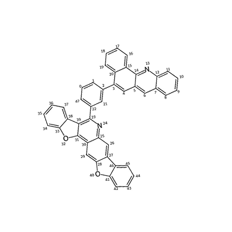 c1cc(-c2cc3cc4ccccc4nc3c3ccccc23)cc(-c2nc3cc4c(cc3c3oc5ccccc5c23)oc2ccccc24)c1